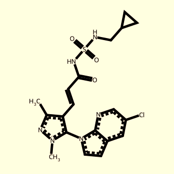 Cc1nn(C)c(-n2ccc3cc(Cl)cnc32)c1/C=C/C(=O)NS(=O)(=O)NCC1CC1